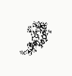 COC(=O)N[C@H](C(=O)N1CCC[C@H]1c1nc2cc([C@H]3CC[C@H](c4cc5nc([C@@H]6CCCN6C(=O)[C@@H](NC(=O)OC)C(C)C)[nH]c5cc4F)N3c3cc(F)c(N4CCN(c5ncccn5)CC4)c(F)c3)c(F)cc2[nH]1)C(C)C